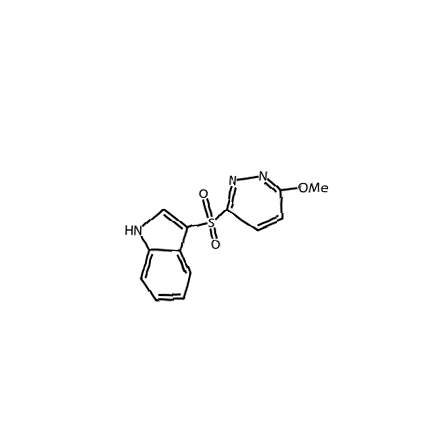 COc1ccc(S(=O)(=O)c2c[nH]c3ccccc23)nn1